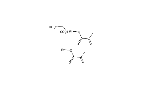 C=C(C)C(=O)OC(C)C.C=C(C)C(=O)OC(C)C.O=C(O)CC(=O)O